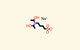 CC(O)N(CCCCS(=O)(=O)[O-])C(C)O.[Na+]